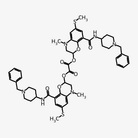 CSc1cc(C(=O)NC2CCN(Cc3ccccc3)CC2)c2c(c1)N(C)CC(OC(=O)C(=O)OC1CN(C)c3cc(SC)cc(C(=O)NC4CCN(Cc5ccccc5)CC4)c3O1)O2